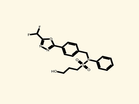 O=S(=O)(CCCO)N(Cc1ccc(-c2nnc(C(F)F)o2)cc1)c1ccccc1